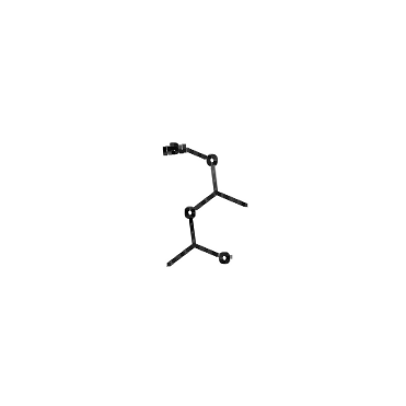 CCCCOC(C)OC(C)[O]